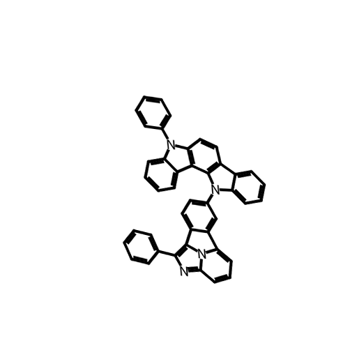 c1ccc(-c2nc3cccc4c5cc(-n6c7ccccc7c7ccc8c(c9ccccc9n8-c8ccccc8)c76)ccc5c2n34)cc1